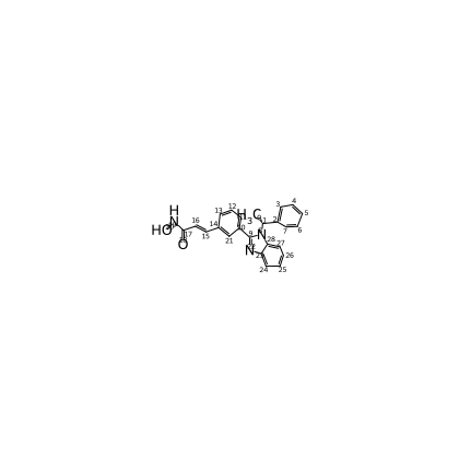 C[C@@H](c1ccccc1)n1c(-c2cccc(/C=C/C(=O)NO)c2)nc2ccccc21